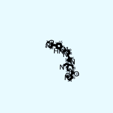 N#CCC1(n2cc(-c3ccnc(Nc4cccc(-c5cnco5)c4)n3)cn2)CCN(C(=O)c2ccno2)CC1